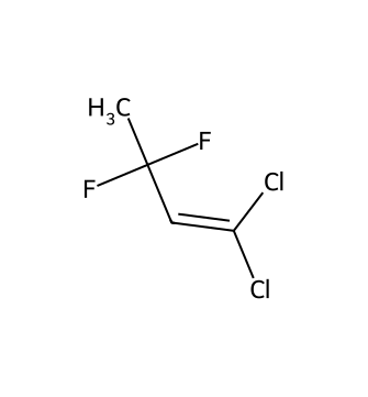 CC(F)(F)C=C(Cl)Cl